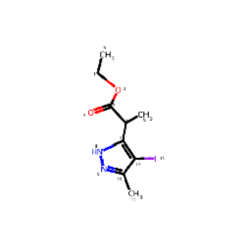 CCOC(=O)C(C)c1[nH]nc(C)c1I